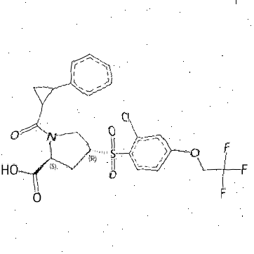 O=C(O)[C@@H]1C[C@@H](S(=O)(=O)c2ccc(OCC(F)(F)F)cc2Cl)CN1C(=O)C1CC1c1ccccc1